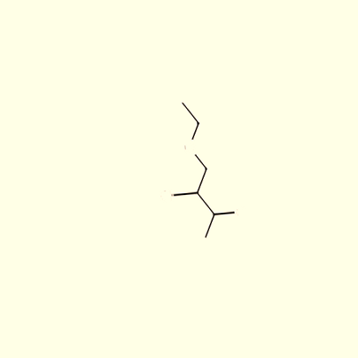 [CH2]COCC(Cl)C(C)Cl